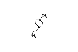 CN1CC[N+](CCN)CC1